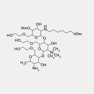 CCCCCCCCCCCCCCCCNC1C(OC2C(COCCO)OC(OC3C(COCCO)OC(C)C(N)C3O)C([N+](C)(C)C)C2O)OC(COCCO)C(OC)C1O